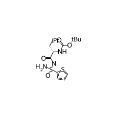 CC(C)C[C@H](NC(=O)OC(C)(C)C)C(=O)N=S(N)(=O)c1cccs1